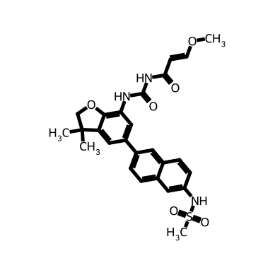 CO/C=C/C(=O)NC(=O)Nc1cc(-c2ccc3cc(NS(C)(=O)=O)ccc3c2)cc2c1OCC2(C)C